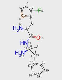 NC(Cc1sccc1F)C(=O)N[C@]1(N)C[C@@H]1c1ccccc1